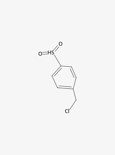 O=[SH](=O)c1ccc(CCl)cc1